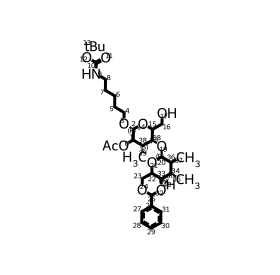 CC(=O)OC1[C@H](OCCCCCNC(=O)OC(C)(C)C)OC(CO)[C@@H](O[C@@H]2OC3COC(c4ccccc4)O[C@@H]3[C@H](C)C2C)[C@@H]1C